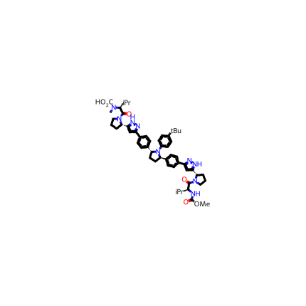 COC(=O)N[C@H](C(=O)N1CCC[C@H]1c1cc(-c2ccc([C@H]3CC[C@H](c4ccc(-c5cc([C@@H]6CCCN6C(=O)[C@H](C(C)C)N(C)C(=O)O)[nH]n5)cc4)N3c3ccc(C(C)(C)C)cc3)cc2)n[nH]1)C(C)C